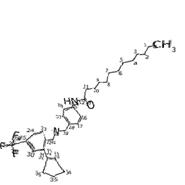 CCCCCCCCCCCCC(=O)Nc1ccc(C[N]Cc2ccc(C(F)(F)F)cc2C2CCCC2)cc1